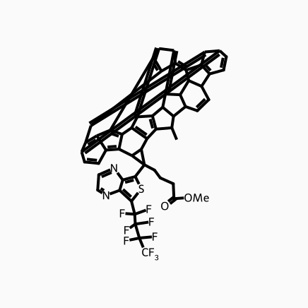 COC(=O)CCCC1(c2sc(C(F)(F)C(F)(F)C(F)(F)C(F)(F)F)c3nccnc23)C2c3c4c5c6c3c3c(c7ccc8c9ccc%10c%11c%12c%13c(c6c6c%13c(c%119)c8c7c36)=C3C5C(C4C)C4C=CC%10C%12C34)C21